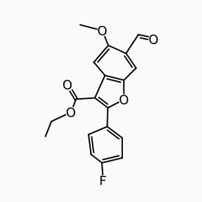 CCOC(=O)c1c(-c2ccc(F)cc2)oc2cc(C=O)c(OC)cc12